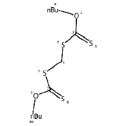 CCCCOC(=S)SCSC(=S)OCCCC